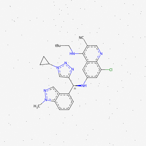 Cn1ncc2c([C@H](Nc3cc(Cl)c4ncc(C#N)c(NCC(C)(C)C)c4c3)c3cn(C4CC4)nn3)cccc21